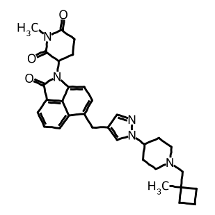 CN1C(=O)CCC(N2C(=O)c3cccc4c(Cc5cnn(C6CCN(CC7(C)CCC7)CC6)c5)ccc2c34)C1=O